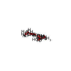 COc1cc(-c2scnc2C)ccc1CNC(=O)[C@@H]1C[C@@H](O)CN1C(=O)C(NC(=O)COCCN1CCN(c2ccc(C(=O)NC3C(C)(C)C(Oc4ccc(C#N)c(Cl)c4)C3(C)C)cn2)CC1)C(C)(C)C